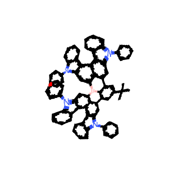 CC(C)(C)c1cc2c3c(c1)-c1cc4c(c5ccccc5n4-c4ccccc4)c4c1c(cc1c4c4ccccc4n1-c1ccccc1)B3c1cc3c(c4ccccc4n3-c3ccccc3)c3c1c-2cc1c3c2ccccc2n1-c1ccccc1